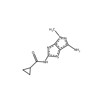 Cn1nc(N)c2sc(NC(=O)C3CC3)nc21